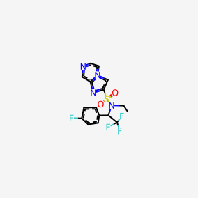 CCN(C(c1ccc(F)cc1)C(F)(F)F)S(=O)(=O)c1cn2ccncc2n1